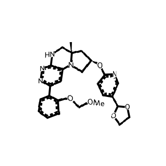 COCOc1ccccc1-c1cc2c(nn1)NC[C@]1(C)C[C@@H](Oc3ccc(C4OCCO4)cn3)CN21